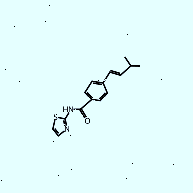 CC(C)/C=C/c1ccc(C(=O)Nc2nccs2)cc1